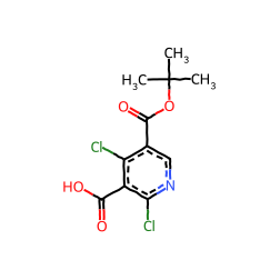 CC(C)(C)OC(=O)c1cnc(Cl)c(C(=O)O)c1Cl